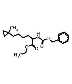 CCOC(=O)C(CCCCC1(C)CC1)NC(=O)OCc1ccccc1